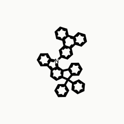 c1ccc(C2(c3ccccc3)c3ccccc3-c3c2ccc2c4ccccc4n(-c4ccc5c6ccccc6c6ccccc6c5c4)c32)cc1